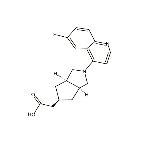 O=C(O)C[C@@H]1C[C@@H]2CN(c3ccnc4ccc(F)cc34)C[C@@H]2C1